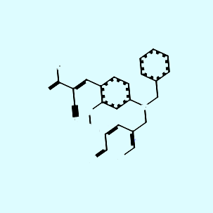 C=C/C=C\C(=C/C)CN(Cc1ccccc1)c1ccc(/C=C(\C#N)C(=O)O)c(OC)c1